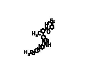 COC1CCN(c2ccc(Nc3ncc4cc(-c5cc(NC(=O)c6cccc(C(F)(F)F)c6)ccc5C)ccc4n3)cn2)CC1